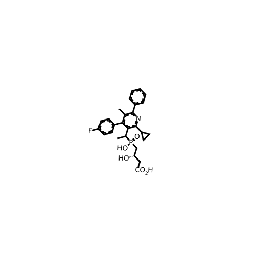 Cc1c(-c2ccccc2)nc(C2CC2)c(C(C)P(=O)(O)C[C@@H](O)CC(=O)O)c1-c1ccc(F)cc1